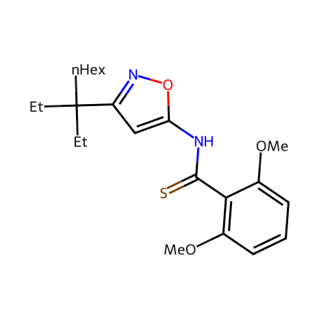 CCCCCCC(CC)(CC)c1cc(NC(=S)c2c(OC)cccc2OC)on1